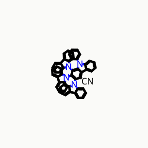 N#Cc1c(-n2c3ccccc3c3ccccc32)c(-n2c3ccccc3c3ccccc32)c(-n2c3ccccc3c3ccccc32)c2c1c1ccccc1n2-c1ccccc1